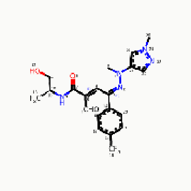 CN(/N=C(\C=C(/C=O)C(=O)N[C@H](CO)C(F)(F)F)c1ccc(C(F)(F)F)cc1)c1cnn(C)c1